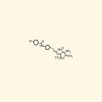 C=C(/N=C(Cl)\C(CC(=O)O)=C(/N)N(C)C)SCc1ccc(NC(=O)c2ccc(Cl)cc2)cc1